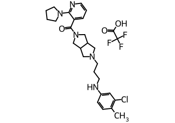 Cc1ccc(NCCCN2CC3CN(C(=O)c4cccnc4N4CCCC4)CC3C2)cc1Cl.O=C(O)C(F)(F)F